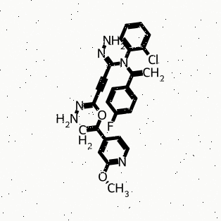 C=C(O/C(C#C/C(=N/N)N(C(=C)c1ccc(F)cc1)c1ccccc1Cl)=N\N)c1ccnc(OC)c1